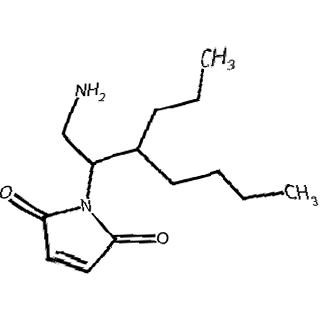 CCCCC(CCC)C(CN)N1C(=O)C=CC1=O